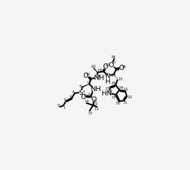 CC/C=C/CSC[C@H](NC(=O)OC(C)(C)C)C(=O)N[C@@H](C)C(=O)N[C@@H](Cc1c[nH]c2ccccc12)C(=O)OC